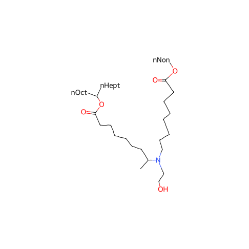 CCCCCCCCCOC(=O)CCCCCCCN(CCO)C(C)CCCCCCC(=O)OC(CCCCCCC)CCCCCCCC